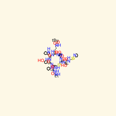 CCNC(=O)N[C@H](Cc1ccccc1)C(=O)N[C@H]1CSSC[C@@H](C(=O)N[C@H](C(=O)NCCSSc2ccccn2)[C@@H](C)O)NC(=O)[C@H]([C@@H](C)O)NC(=O)[C@H](CCCCCNC(=O)OC(C)(C)C)NC(=O)[C@@H](Cc2c[nH]c3ccccc23)NC(=O)[C@H](Cc2ccc(O)cc2)NC1=O